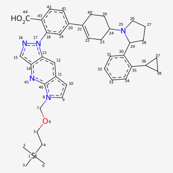 C[Si](C)(C)CCOCn1ccc2cc3c(cnn3-c3cc(C4=CCC(N5CCCC5c5ccccc5C5CC5)CC4)ccc3C(=O)O)nc21